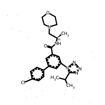 CC(C)c1nnnn1-c1cc(C(=O)N[C@H](C)CN2CCOCC2)cc(-c2ccc(Cl)cc2)c1